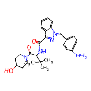 CC(C)(C)C(NC(=O)c1nn(Cc2ccc(N)cc2)c2ccccc12)C(=O)N1CCC(O)CC1